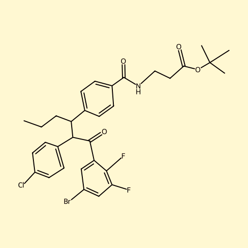 CCCC(c1ccc(C(=O)NCCC(=O)OC(C)(C)C)cc1)C(C(=O)c1cc(Br)cc(F)c1F)c1ccc(Cl)cc1